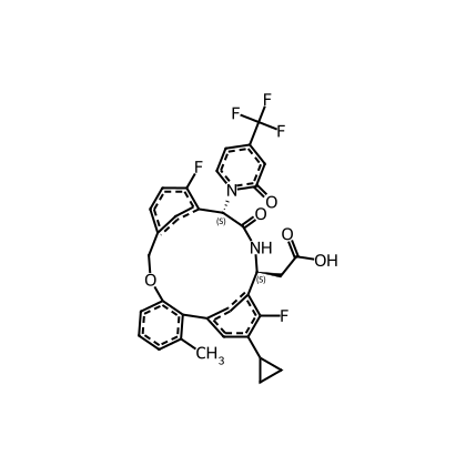 Cc1cccc2c1-c1cc(C3CC3)c(F)c(c1)[C@H](CC(=O)O)NC(=O)[C@@H](n1ccc(C(F)(F)F)cc1=O)c1cc(ccc1F)CO2